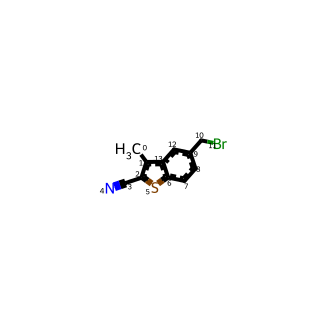 Cc1c(C#N)sc2ccc(CBr)cc12